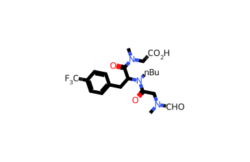 CCCCN(C(=O)CN(C)C=O)C(Cc1ccc(C(F)(F)F)cc1)C(=O)N(C)CC(=O)O